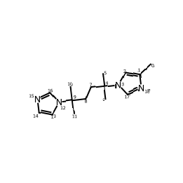 Cc1cn(C(C)(C)CCC(C)(C)n2ccnc2)cn1